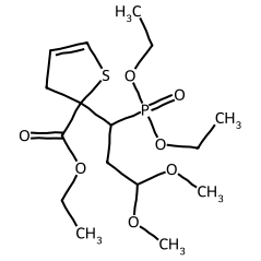 CCOC(=O)C1(C(CC(OC)OC)P(=O)(OCC)OCC)CC=CS1